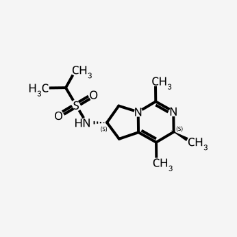 CC1=N[C@@H](C)C(C)=C2C[C@H](NS(=O)(=O)C(C)C)CN12